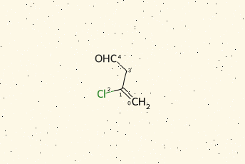 C=C(Cl)CC=O